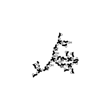 CCOCOCC(COCc1cn(CC(O)COCC(COCC(O)Cn2cc(COCC(COCCCO)(COCC3CO3)COCC3CO3)nn2)(COCC(O)Cn2cc(COCC(COCC3CO3)(COCC3CO3)COCC3CO3)nn2)COCC(O)Cn2cc(COCC(COCC3CO3)(COCC3CO3)COCC3CO3)nn2)nn1)(COCC1CO1)COCC1CO1